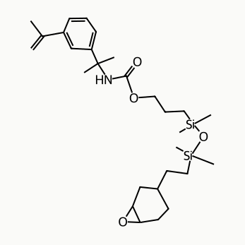 C=C(C)c1cccc(C(C)(C)NC(=O)OCCC[Si](C)(C)O[Si](C)(C)CCC2CCC3OC3C2)c1